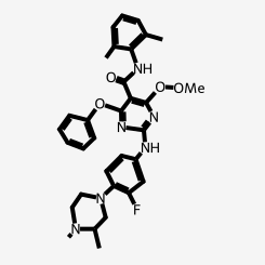 COOc1nc(Nc2ccc(N3CCN(C)C(C)C3)c(F)c2)nc(Oc2ccccc2)c1C(=O)Nc1c(C)cccc1C